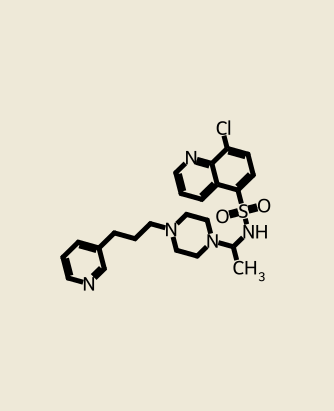 CC(NS(=O)(=O)c1ccc(Cl)c2ncccc12)N1CCN(CCCc2cccnc2)CC1